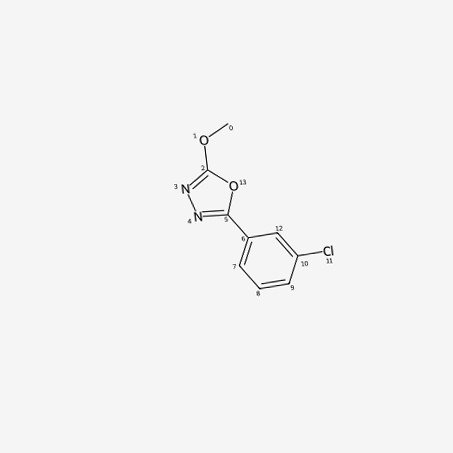 COc1nnc(-c2cccc(Cl)c2)o1